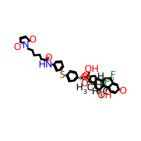 C[C@]12C=CC(=O)C=C1[C@@H](F)C[C@H]1[C@@H]3CC4O[C@@H](c5ccc(Sc6cccc(NC(=O)CCCCCN7C(=O)C=CC7=O)c6)cc5)O[C@@]4(C(=O)CO)[C@@]3(C)C[C@H](O)[C@@]12F